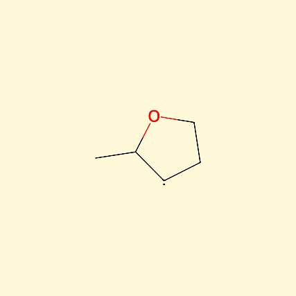 CC1[CH]CCO1